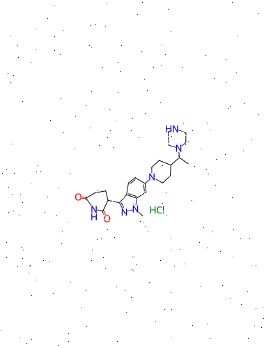 CC(C1CCN(c2ccc3c(C4CCC(=O)NC4=O)nn(C)c3c2)CC1)N1CCNCC1.Cl